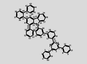 c1ccc(-c2cc(-c3ccccc3)nc(-c3cccc(-c4cccc(-n5c6ccccc6c6cc(-c7ccccc7-c7ccccc7)cc(-c7ccccc7)c65)c4)c3)n2)cc1